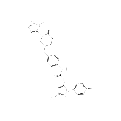 Cc1ccc(-n2nc(C(C)(C)C)cc2NC(=O)Nc2ccc(CN3CCC(=O)N(c4ccnn4C)C3)cc2)cc1